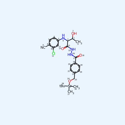 CC(O)C(Nc1ccc(C#N)c(Cl)c1)C(=O)NNC(=O)c1ccc(CO[Si](C)(C)C(C)(C)C)cc1